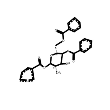 C[C@@H]1C(OC(=O)c2ccccc2)O[C@H](COC(=O)c2ccccc2)C(OC(=O)c2ccccc2)C1O